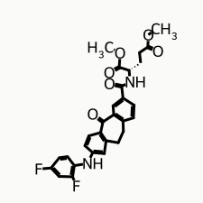 COC(=O)CC[C@H](NC(=O)c1ccc2c(c1)C(=O)c1ccc(Nc3ccc(F)cc3F)cc1CC2)C(=O)OC